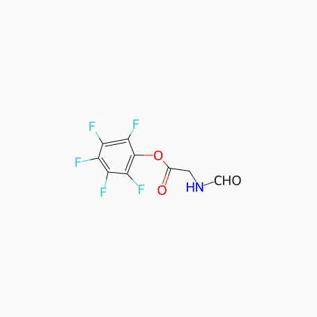 O=CNCC(=O)Oc1c(F)c(F)c(F)c(F)c1F